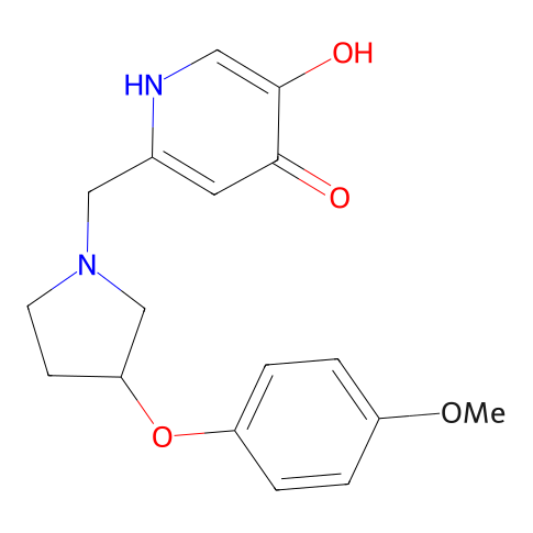 COc1ccc(OC2CCN(Cc3cc(=O)c(O)c[nH]3)C2)cc1